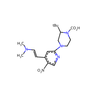 CN(C)C=Cc1cc(N2CCN(C(=O)O)C(C(C)(C)C)C2)ncc1[N+](=O)[O-]